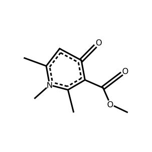 COC(=O)c1c(C)n(C)c(C)cc1=O